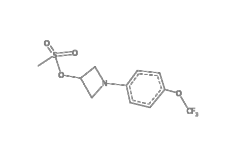 CS(=O)(=O)OC1CN(c2ccc(OC(F)(F)F)cc2)C1